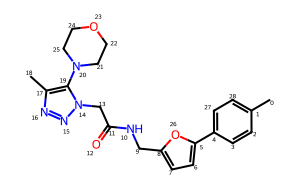 Cc1ccc(-c2ccc(CNC(=O)Cn3nnc(C)c3N3CCOCC3)o2)cc1